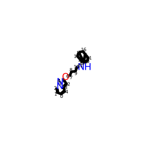 c1ccn2nc(OCCCCNC3C4CC5CC(C4)CC3C5)cc2c1